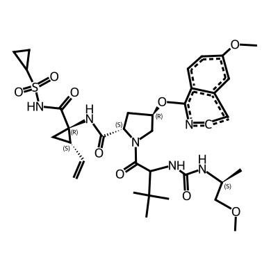 C=C[C@@H]1C[C@]1(NC(=O)[C@@H]1C[C@@H](Oc2nccc3cc(OC)ccc23)CN1C(=O)C(NC(=O)N[C@@H](C)COC)C(C)(C)C)C(=O)NS(=O)(=O)C1CC1